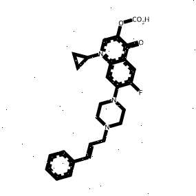 O=C(O)Oc1cn(C2CC2)c2cc(N3CCN(CC=Cc4ccccc4)CC3)c(F)cc2c1=O